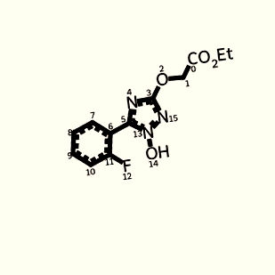 CCOC(=O)COc1nc(-c2ccccc2F)n(O)n1